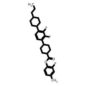 CCCC1CCC(c2ccc(C3CCC(C(=O)Oc4ccc(C)cc4F)CC3)c(F)c2F)CC1